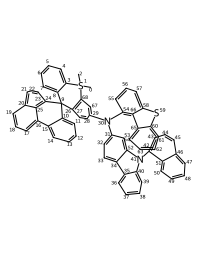 CS1(C)c2ccccc2C2(c3ccccc3-c3cccc4cccc2c34)c2ccc(N(c3ccc4c5ccccc5n(-c5cccc6ccccc56)c4c3)c3cccc4sc5ccccc5c34)cc21